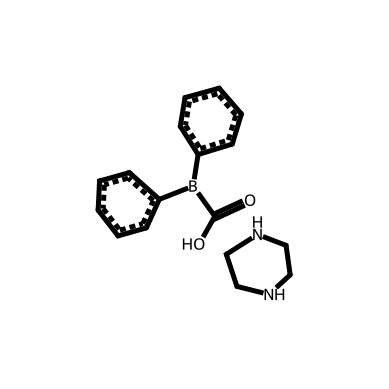 C1CNCCN1.O=C(O)B(c1ccccc1)c1ccccc1